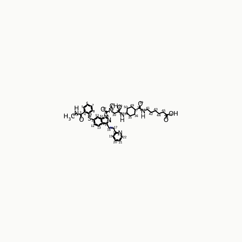 CNC(=O)c1ccccc1Sc1ccc2c(/C=C/c3ccccn3)nn(C(=O)N(C)CC(=O)N[C@H]3CC[C@H](C(=O)NCCCCCC(=O)O)CC3)c2c1